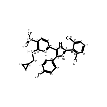 O=[N+]([O-])c1ccc(-c2[nH]c(-c3c(Cl)cccc3Cl)nc2-c2ccc(F)cc2)nc1NCC1CC1